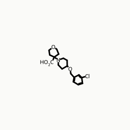 O=C(O)C1(N2CCC(OCc3cccc(Cl)c3)CC2)CCOCC1